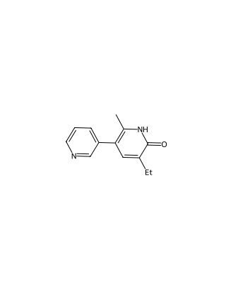 CCc1cc(-c2cccnc2)c(C)[nH]c1=O